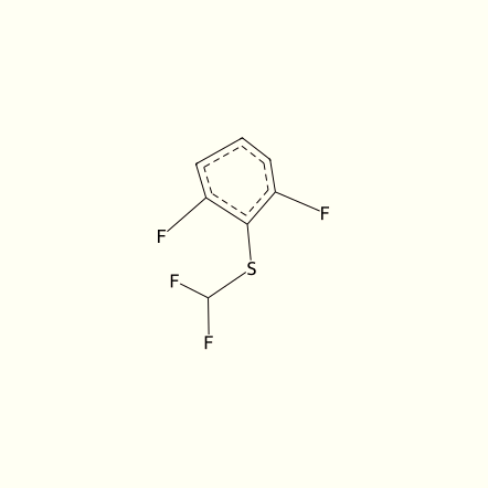 Fc1cccc(F)c1SC(F)F